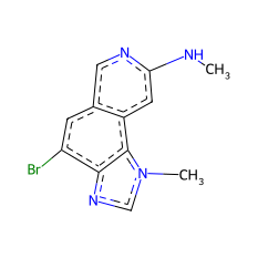 CNc1cc2c(cn1)cc(Br)c1ncn(C)c12